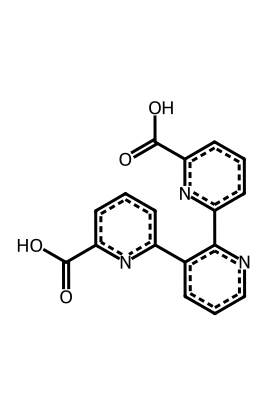 O=C(O)c1cccc(-c2cccnc2-c2cccc(C(=O)O)n2)n1